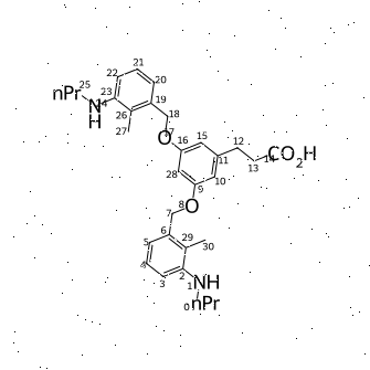 CCCNc1cccc(COc2cc(CCC(=O)O)cc(OCc3cccc(NCCC)c3C)c2)c1C